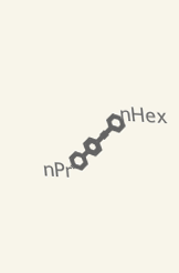 CCCCCCC1CC=C(C#Cc2ccc(C3CCC(CCC)CC3)cc2)CC1